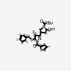 CC(C)(C)C(=O)N1CC(c2nn(C(=O)c3cccs3)c(SCc3ccccc3)c2F)CC1O